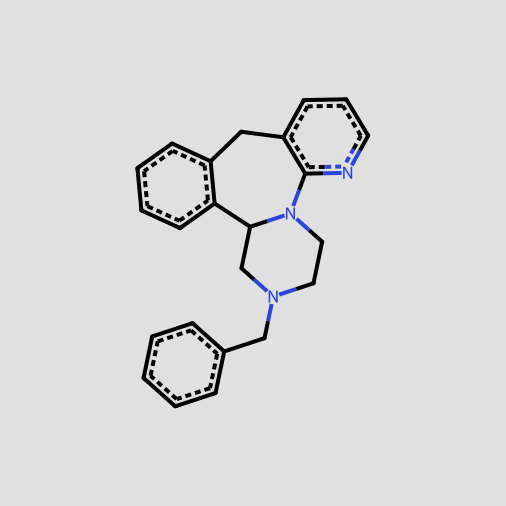 c1ccc(CN2CCN3c4ncccc4Cc4ccccc4C3C2)cc1